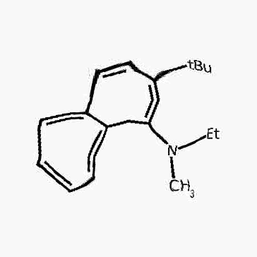 CCN(C)c1c(C(C)(C)C)ccc2ccccc12